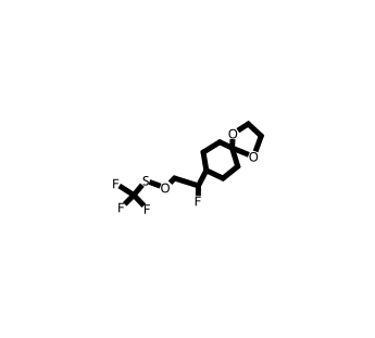 FC(COSC(F)(F)F)C1CCC2(CC1)OCCO2